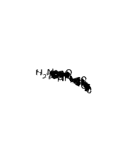 CC1(OC(=O)N2CC3C(CCNC(=O)c4cc5cc(N)ncc5s4)C3C2)COC1